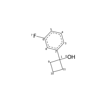 OC1(c2cccc(F)c2)CCC1